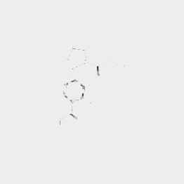 CC(C)(C)OC(=O)N1CCC[C@H]1c1ccc(C(=O)CBr)c(F)c1